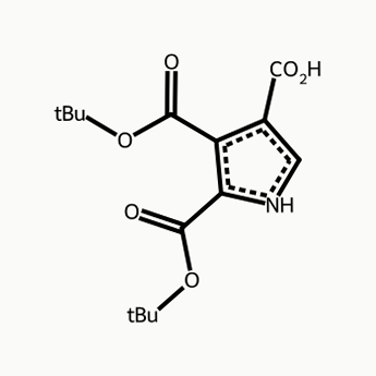 CC(C)(C)OC(=O)c1[nH]cc(C(=O)O)c1C(=O)OC(C)(C)C